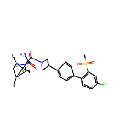 CS(=O)(=O)c1cc(Cl)ccc1-c1ccc(C2CN(C(=O)N3C[C@@H]4C[C@H]3[C@@H]4C(N)=O)C2)cc1